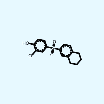 O=S(=O)(c1ccc(O)c(Cl)c1)c1ccc2c(c1)CCCC2